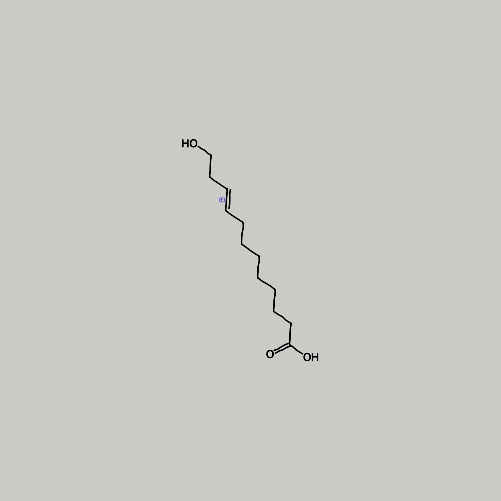 O=C(O)CCCCCCC/C=C/CCO